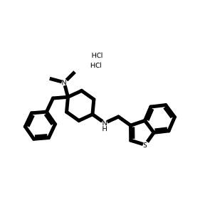 CN(C)C1(Cc2ccccc2)CCC(NCc2csc3ccccc23)CC1.Cl.Cl